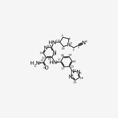 N#CCN1CCC(Nc2ncc(C(N)=O)c(Nc3cccc(-n4nccn4)c3)n2)C1